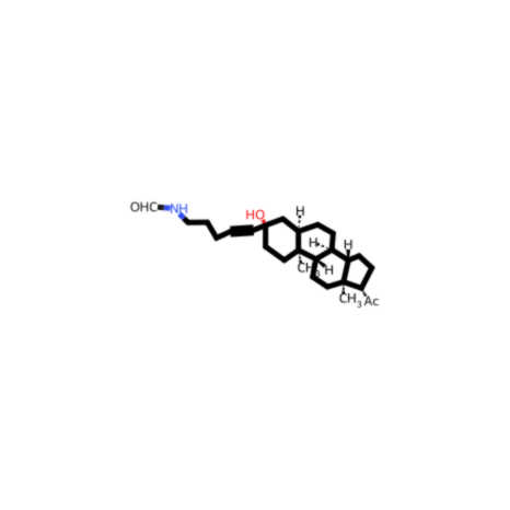 CC(=O)[C@H]1CC[C@H]2[C@@H]3CC[C@@H]4C[C@@](O)(C#CCCCNC=O)CC[C@]4(C)[C@H]3CC[C@]12C